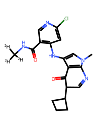 [2H]C([2H])([2H])NC(=O)c1cnc(Cl)cc1Nc1cn(C)c2c1C(=O)C(C1CCC1)C=N2